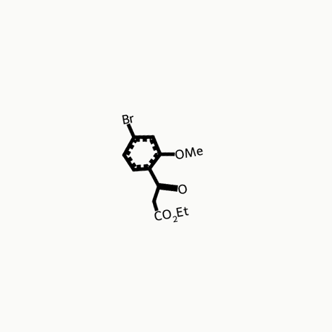 CCOC(=O)CC(=O)c1ccc(Br)cc1OC